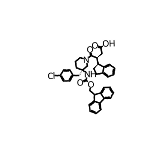 O=C(O)C[C@H](C(=O)N1CCC[C@](Cc2ccc(Cl)cc2)(NC(=O)OCC2c3ccccc3-c3ccccc32)C1)[C@@H]1CCc2ccccc21